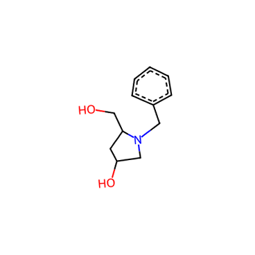 OCC1CC(O)CN1Cc1ccccc1